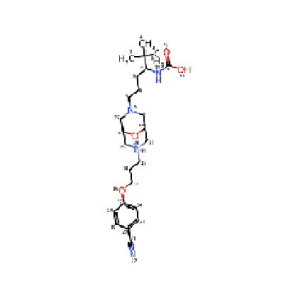 CC(C)(C)C(CCCN1CC2CN(CCCOc3ccc(C#N)cc3)CC(C1)O2)NC(=O)O